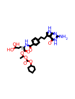 CC(OC(=O)OC1CCCCC1)OC(=O)[C@H](CCC(O)O)NC(=O)c1ccc(CCc2c[nH]c3nc(N)[nH]c(=O)c23)cc1